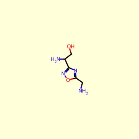 NCc1nc(C(N)CO)no1